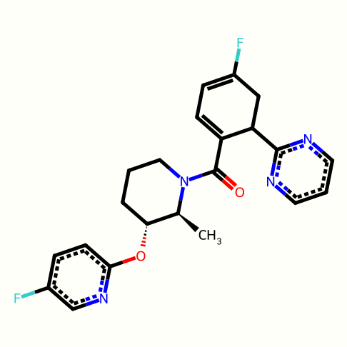 C[C@H]1[C@H](Oc2ccc(F)cn2)CCCN1C(=O)C1=CC=C(F)CC1c1ncccn1